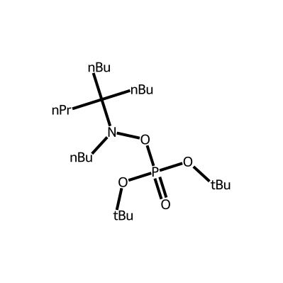 CCCCN(OP(=O)(OC(C)(C)C)OC(C)(C)C)C(CCC)(CCCC)CCCC